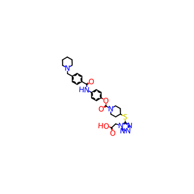 O=C(O)Cn1nnnc1SC1CCN(C(=O)Oc2ccc(NC(=O)c3ccc(CN4CCCCC4)cc3)cc2)CC1